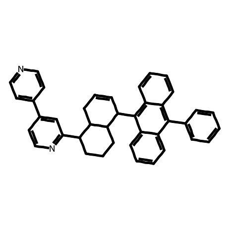 C1=CC(c2c3ccccc3c(-c3ccccc3)c3ccccc23)C2CCCC(c3cc(-c4ccncc4)ccn3)C2C1